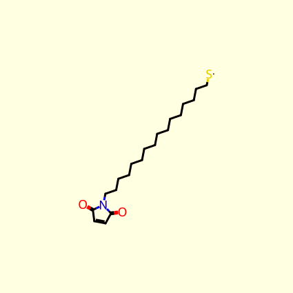 O=C1C=CC(=O)N1CCCCCCCCCCCCCCCC[S]